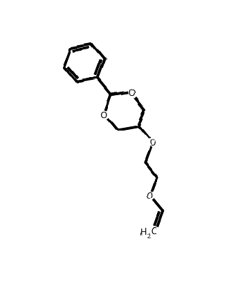 C=COCCOC1COC(c2ccccc2)OC1